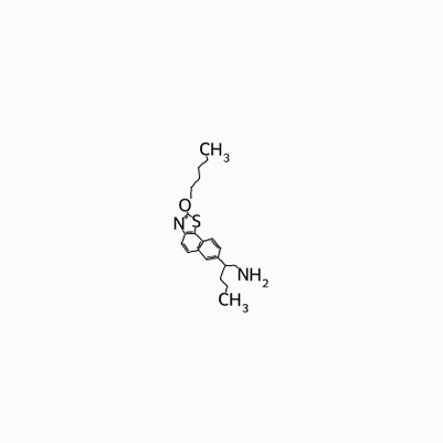 CCCCCCOc1nc2ccc3cc(C(CN)CCC)ccc3c2s1